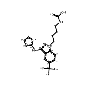 O=C(O)NCCCCn1nc(Nc2nccs2)c2cc(C(F)(F)F)ccc21